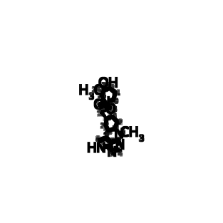 CN(c1ncnc2[nH]ccc12)[C@H]1CC[C@H](CS(=O)(=O)N2CCCC(C)(O)C2)CC1